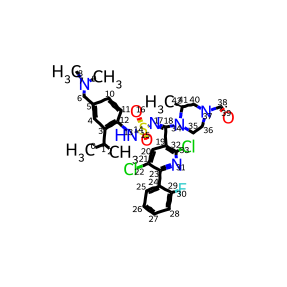 CC(C)c1cc(CN(C)C)ccc1NS(=O)(=O)/N=C(\c1cc(Cl)c(-c2ccccc2F)nc1Cl)N1CCN([C]=O)C[C@@H]1C